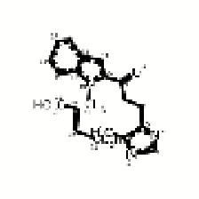 Cc1[nH]cnc1CCC(=O)c1cc2ccccc2n1C.O=C(O)C=CC(=O)O